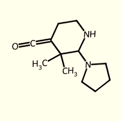 CC1(C)C(=C=O)CCNC1N1CCCC1